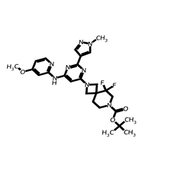 COc1ccnc(Nc2cc(N3CC4(CCN(C(=O)OC(C)(C)C)CC4(F)F)C3)nc(-c3cnn(C)c3)n2)c1